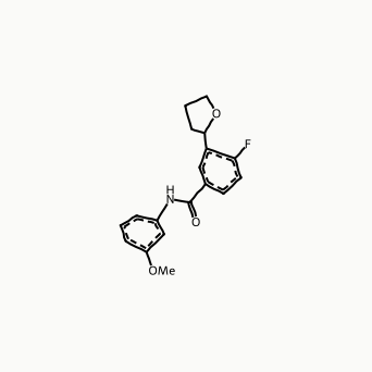 COc1cccc(NC(=O)c2ccc(F)c(C3CCCO3)c2)c1